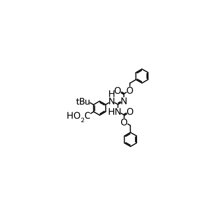 CC(C)(C)c1cc(N/C(=N\C(=O)OCc2ccccc2)NC(=O)OCc2ccccc2)ccc1C(=O)O